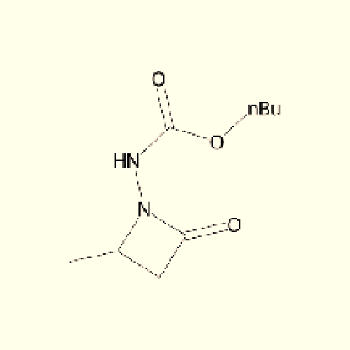 CCCCOC(=O)NN1C(=O)CC1C